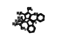 CC1=C(C)[CH]([Zr]([CH3])([CH3])([CH]2C=C(c3ccccc3)c3ccccc32)=[Si](C)C)C(C)=C1C